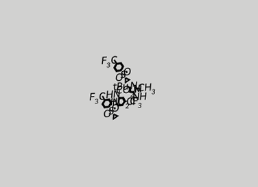 Cn1nc(C(C)(C)C)cc1NC(=O)O.O=C(O)Nc1cc(C(F)(F)F)ccn1.O=S(=O)(c1ccc(C(F)(F)F)cc1)C1CC1.O=S(=O)(c1ccc(C(F)(F)F)cc1)C1CC1